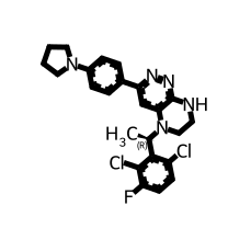 C[C@H](c1c(Cl)ccc(F)c1Cl)N1CCNc2nnc(-c3ccc(N4CCCC4)cc3)cc21